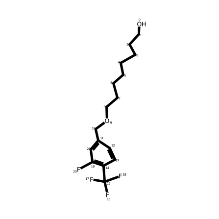 OCCCCCCCCOCc1ccc(C(F)(F)F)c(F)c1